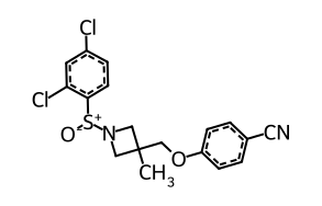 CC1(COc2ccc(C#N)cc2)CN([S+]([O-])c2ccc(Cl)cc2Cl)C1